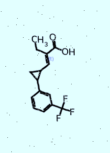 CC/C(=C\C1CC1c1cccc(C(F)(F)F)c1)C(=O)O